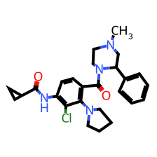 CN1CCN(C(=O)c2ccc(NC(=O)C3CC3)c(Cl)c2N2CCCC2)C(c2ccccc2)C1